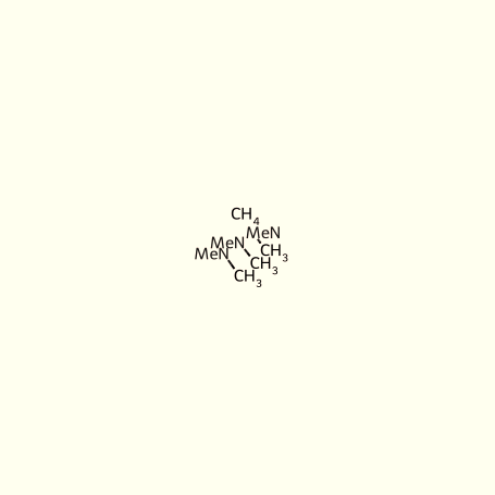 C.CNC.CNC.CNC